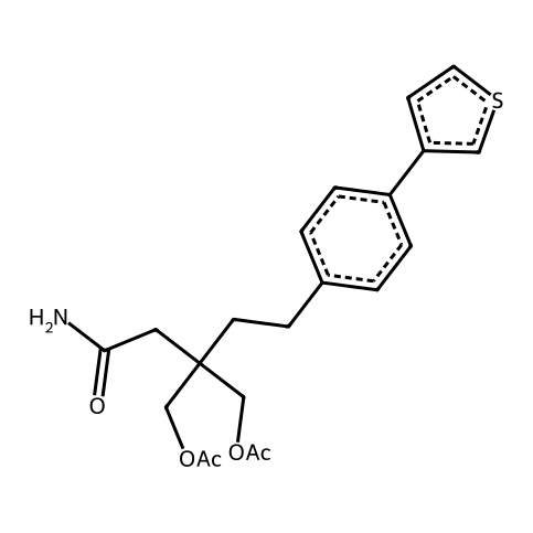 CC(=O)OCC(CCc1ccc(-c2ccsc2)cc1)(COC(C)=O)CC(N)=O